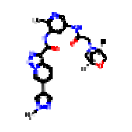 Cc1ncc(NC(=O)CN2C[C@H]3C[C@@H]2CO3)cc1NC(=O)c1nnn2cc(-c3cnn(C)c3)ccc12